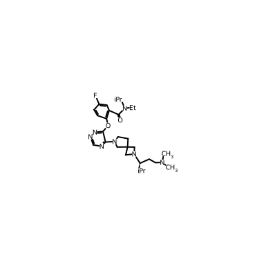 CCN(C(=O)c1cc(F)ccc1Oc1nncnc1N1CCC2(C1)CN([C@@H](CCN(C)C)C(C)C)C2)C(C)C